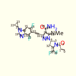 C=CC(=O)N1C[C@@H](n2nc(C#Cc3c(F)cc4c(ncn4C4CC4)c3F)c(C(N)=O)c2NC)CC1C(F)F